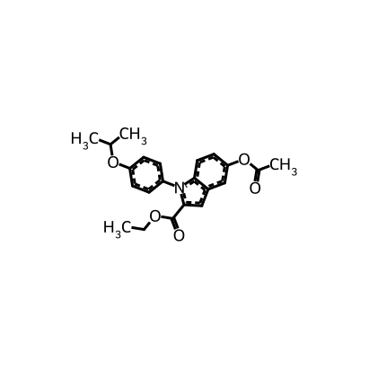 CCOC(=O)c1cc2cc(OC(C)=O)ccc2n1-c1ccc(OC(C)C)cc1